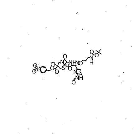 CC(C)(C)OC(=O)NCCCON=C(C(=O)NC1C(=O)N2CC(Cl)(C(=O)OCc3ccc([N+](=O)[O-])cc3)CS[C@H]12)c1csc(NC=O)n1